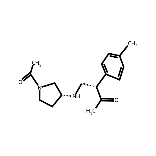 CC(=O)[C@H](CN[C@@H]1CCN(C(C)=O)C1)c1ccc(C)cc1